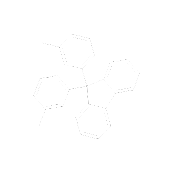 Cc1cccc(C2(c3cccc(C)c3)c3ccccc3-c3ccccc32)c1